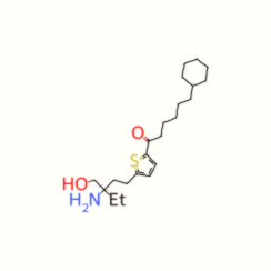 CCC(N)(CO)CCc1ccc(C(=O)CCCCCC2CCCCC2)s1